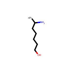 CCCC(N)CCCCCO